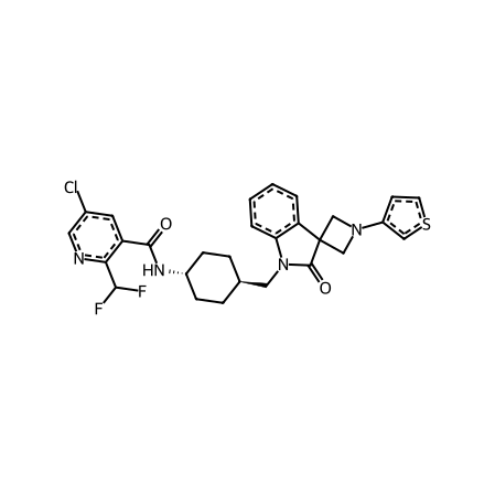 O=C(N[C@H]1CC[C@H](CN2C(=O)C3(CN(c4ccsc4)C3)c3ccccc32)CC1)c1cc(Cl)cnc1C(F)F